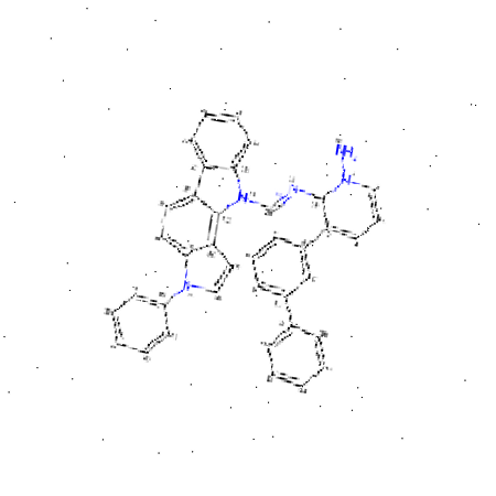 NN1C=CC=C(c2cccc(-c3ccccc3)c2)C1/N=C/n1c2ccccc2c2ccc3c(ccn3-c3ccccc3)c21